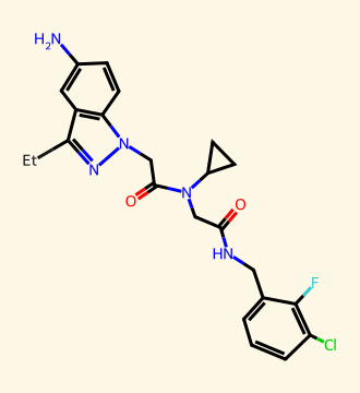 CCc1nn(CC(=O)N(CC(=O)NCc2cccc(Cl)c2F)C2CC2)c2ccc(N)cc12